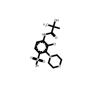 CC(C)S(=O)(=O)c1ccc(NC(=O)C(C)(O)C(F)(F)F)c(Cl)c1N1CCOCC1